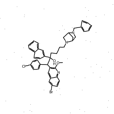 COc1nc2ccc(Br)cc2cc1C(c1ccc(Cl)cc1)C(O)(CCCCN1CC2CC1CN2Cc1ccccc1)c1ccc2ccccc2c1